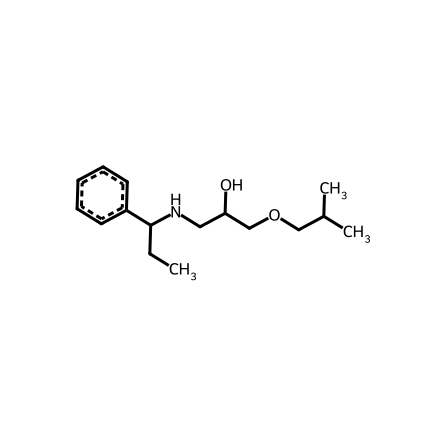 CCC(NCC(O)COCC(C)C)c1ccccc1